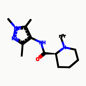 CCCN1CCCC[C@H]1C(=O)Nc1c(C)nn(C)c1C